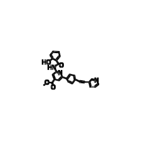 COC(=O)c1cc(NC(=O)c2ccccc2O)nc(-c2ccc(C#Cc3cccnc3)cc2)c1